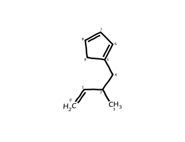 C=CC(C)CC1=CC=CC1